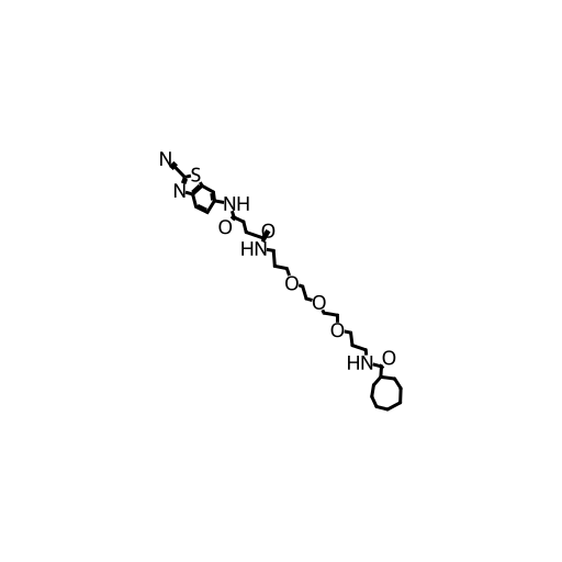 N#Cc1nc2ccc(NC(=O)CCC(=O)NCCCOCCOCCOCCCNC(=O)C3CCCCCCC3)cc2s1